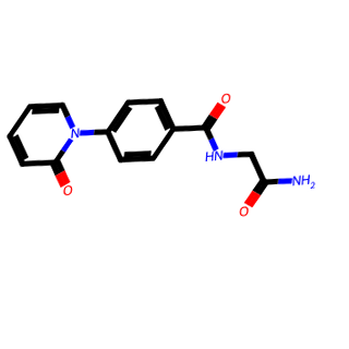 NC(=O)CNC(=O)c1ccc(-n2ccccc2=O)cc1